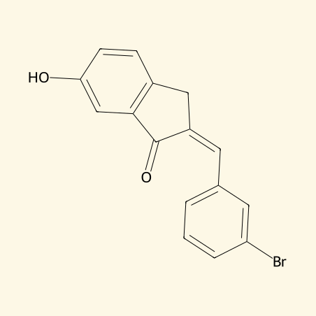 O=C1C(=Cc2cccc(Br)c2)Cc2ccc(O)cc21